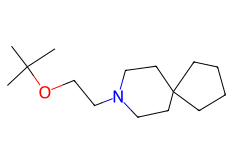 CC(C)(C)OCCN1CCC2(CCCC2)CC1